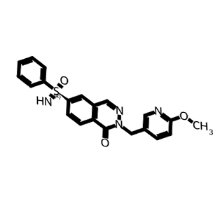 COc1ccc(Cn2ncc3cc([S@](=N)(=O)c4ccccc4)ccc3c2=O)cn1